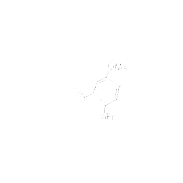 C=[C]c1cc(OC)ccc1CCC